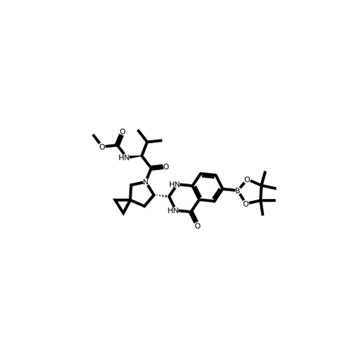 COC(=O)N[C@H](C(=O)N1CC2(CC2)C[C@H]1C1NC(=O)c2cc(B3OC(C)(C)C(C)(C)O3)ccc2N1)C(C)C